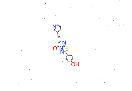 O=c1cc(/C=C/c2cccnc2)nc2sc(-c3ccc(O)cc3)nn12